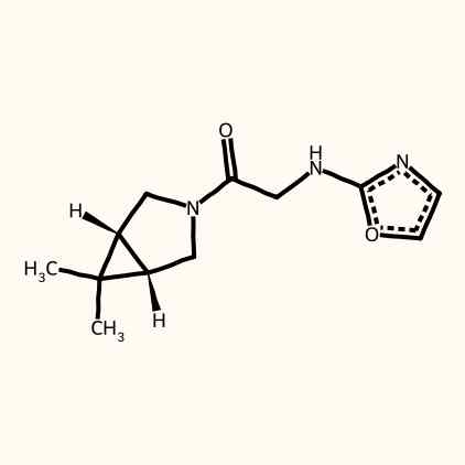 CC1(C)[C@@H]2CN(C(=O)CNc3ncco3)C[C@@H]21